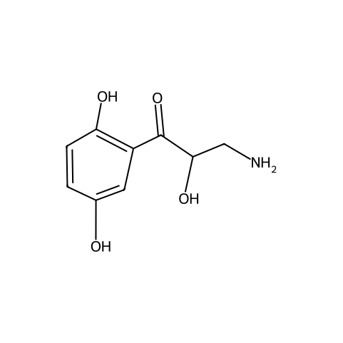 NCC(O)C(=O)c1cc(O)ccc1O